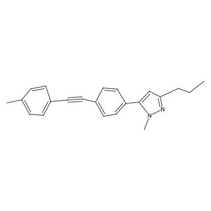 CCCc1cc(-c2ccc(C#Cc3ccc(C)cc3)cc2)n(C)n1